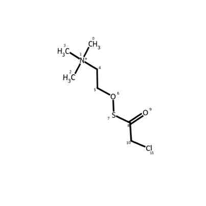 C[N+](C)(C)CCOSC(=O)CCl